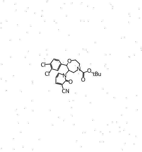 CC(C)(C)OC(=O)N1CCOC(c2ccc(Cl)c(Cl)c2)C(n2cccc(C#N)c2=O)C1